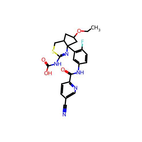 CCOC1CC2CSC(NC(=O)O)=NC2(c2cc(NC(=O)c3ccc(C#N)cn3)ccc2F)C1